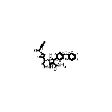 CC#CC(=O)N1CC(C2CCNC3=C(C(N)=O)C(c4ccc(Oc5ccccc5)cc4)NN32)C1